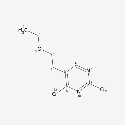 CCOCCc1cnc(Cl)nc1Cl